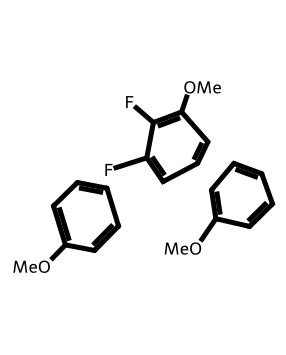 COc1cccc(F)c1F.COc1ccccc1.COc1ccccc1